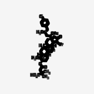 CC(=O)O[C@@H](CN(C)Cc1ccc(Cl)cc1)[C@@]12CC[C@]3(C)[C@H](CC[C@@H]4[C@@]5(C)CC[C@H](OC(=O)CC(C)(C)C(=O)O)[C@H](C)[C@@H]5CC[C@]43C)C1=C(C(C)C)C(=O)C2